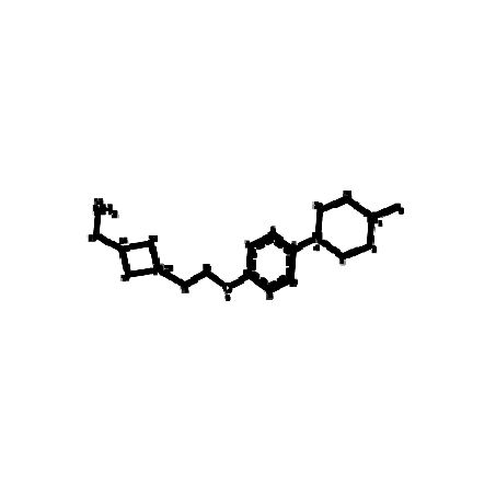 CN1CCN(c2ccc(OCCN3CC(CN)C3)cc2)CC1